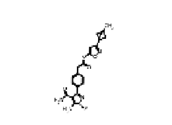 CC(C)n1nc(-c2ccc(CC(=O)Nc3cc(C45CC(C)(C4)C5)no3)cc2)c(C(N)=O)c1N